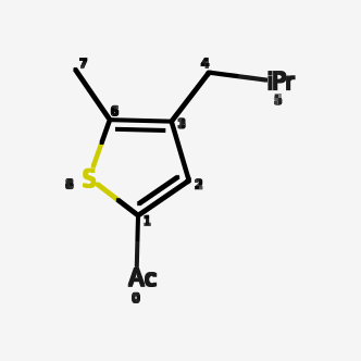 CC(=O)c1cc(CC(C)C)c(C)s1